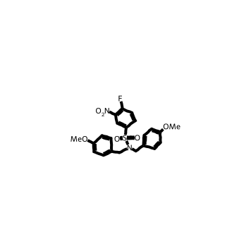 COc1ccc(CN(Cc2ccc(OC)cc2)S(=O)(=O)c2ccc(F)c([N+](=O)[O-])c2)cc1